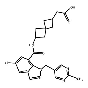 Cc1ncc(Cn2ncc3cc(Cl)cc(C(=O)NC4CC5(CC(CC(=O)O)C5)C4)c32)cn1